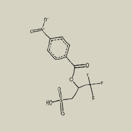 O=C(OC(CS(=O)(=O)O)C(F)(F)F)c1ccc([N+](=O)[O-])cc1